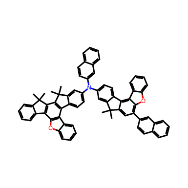 CC1(C)c2cc(N(c3ccc4c(c3)C(C)(C)c3c5c(c6oc7ccccc7c6c3-4)-c3ccccc3C5(C)C)c3ccc4ccccc4c3)ccc2-c2c1cc(-c1ccc3ccccc3c1)c1oc3ccccc3c21